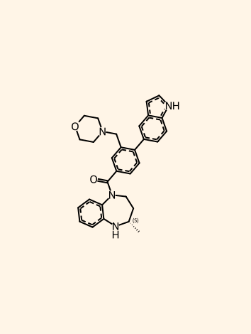 C[C@H]1CCN(C(=O)c2ccc(-c3ccc4[nH]ccc4c3)c(CN3CCOCC3)c2)c2ccccc2N1